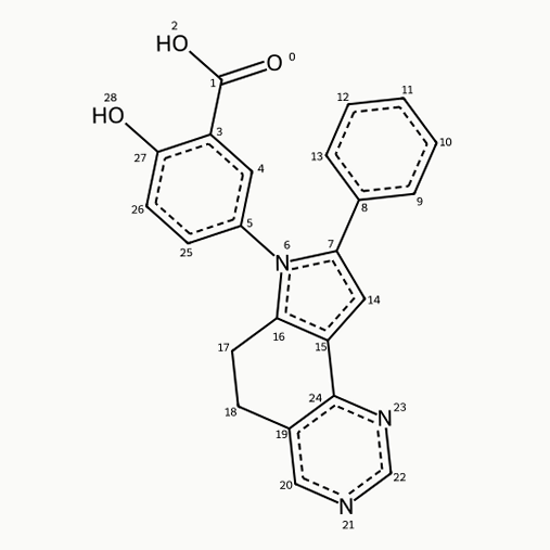 O=C(O)c1cc(-n2c(-c3ccccc3)cc3c2CCc2cncnc2-3)ccc1O